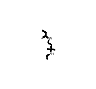 C=CC(=O)NCCC(C)(C)NCC